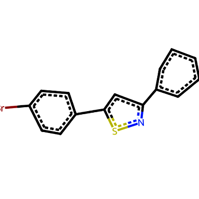 Brc1ccc(-c2cc(-c3ccccc3)ns2)cc1